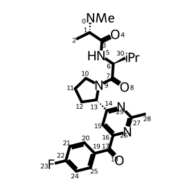 CN[C@@H](C)C(=O)N[C@H](C(=O)N1CCC[C@H]1c1cc(C(=O)c2ccc(F)cc2)nc(C)n1)C(C)C